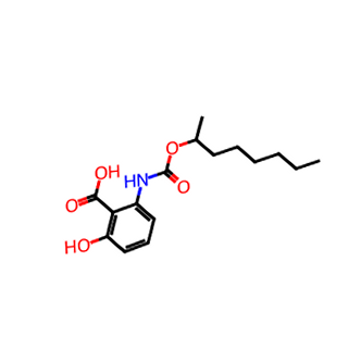 CCCCCCC(C)OC(=O)Nc1cccc(O)c1C(=O)O